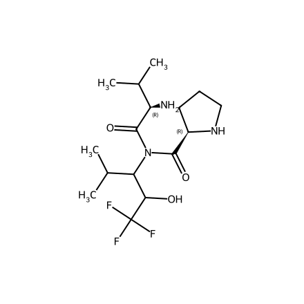 CC(C)C(C(O)C(F)(F)F)N(C(=O)[C@H]1CCCN1)C(=O)[C@H](N)C(C)C